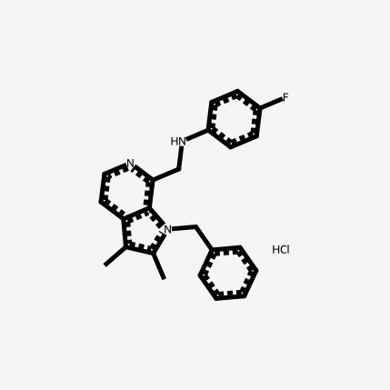 Cc1c(C)n(Cc2ccccc2)c2c(CNc3ccc(F)cc3)nccc12.Cl